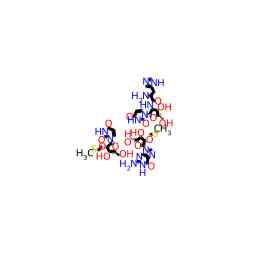 CSCOC1C(O)[C@@H](CO)O[C@H]1n1cnc2c(=O)[nH]c(N)nc21.CSCOC1C(O)[C@H](CO)O[C@@H]1n1ccc(=O)[nH]c1=O.N[C@@H](Cc1cnc[nH]1)C(=O)NC1C(O)[C@H](CO)O[C@@H]1n1ccc(=O)[nH]c1=O